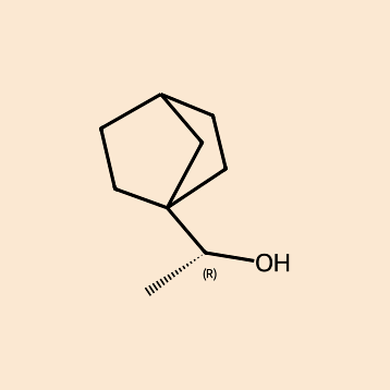 C[C@@H](O)C12CCC(CC1)C2